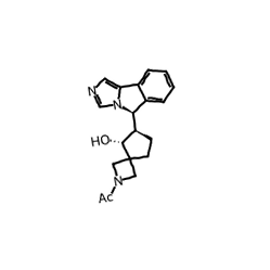 CC(=O)N1CC2(CC[C@H]([C@@H]3c4ccccc4-c4cncn43)[C@H]2O)C1